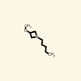 CCCCCN1CC(OC)C1